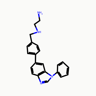 NCCNCc1ccc(-c2ccc3ncn(-c4ccccc4)c3c2)cc1